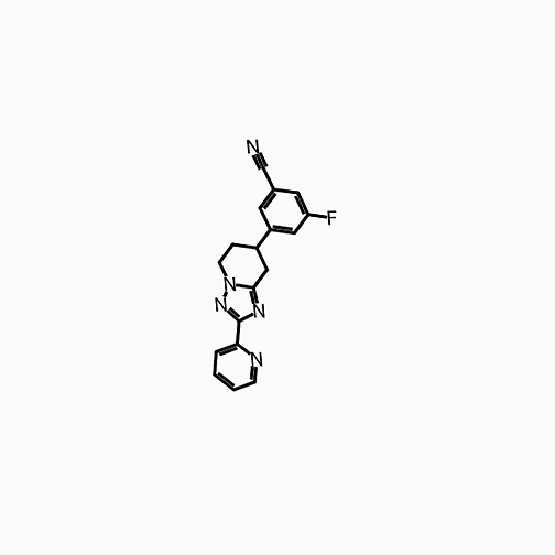 N#Cc1cc(F)cc(C2CCn3nc(-c4ccccn4)nc3C2)c1